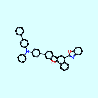 c1ccc(-c2ccc(N(c3ccccc3)c3ccc(-c4ccc5c(c4)oc4c6ccccc6c(-c6nc7ccccc7o6)cc54)cc3)cc2)cc1